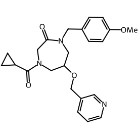 COc1ccc(CN2CC(OCc3cccnc3)CN(C(=O)C3CC3)CC2=O)cc1